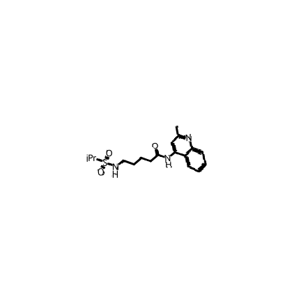 Cc1cc(NC(=O)CCCCNS(=O)(=O)C(C)C)c2ccccc2n1